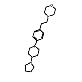 c1cc(N2CCC(N3CCCC3)CC2)ccc1CCN1CCOCC1